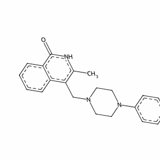 Cc1[nH]c(=O)c2ccccc2c1CN1CCN(c2ccccc2)CC1